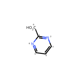 O=C(O)c1nc[c]cn1